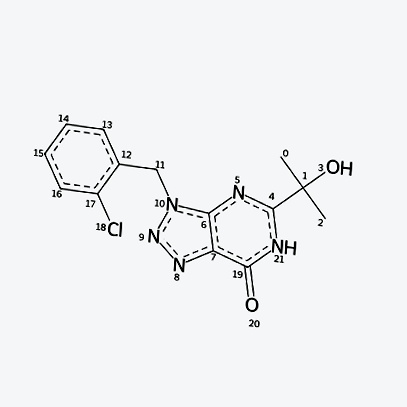 CC(C)(O)c1nc2c(nnn2Cc2ccccc2Cl)c(=O)[nH]1